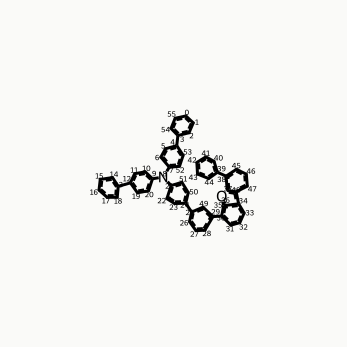 c1ccc(-c2ccc(N(c3ccc(-c4ccccc4)cc3)c3ccc(-c4cccc(-c5cccc6c5oc5c(-c7ccccc7)cccc56)c4)cc3)cc2)cc1